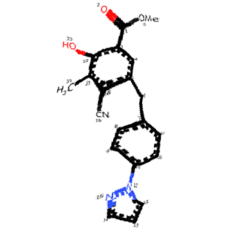 COC(=O)c1cc(Cc2ccc(-n3cccn3)cc2)c(C#N)c(C)c1O